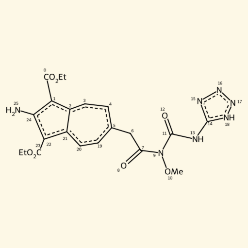 CCOC(=O)c1c2ccc(CC(=O)N(OC)C(=O)Nc3nnn[nH]3)ccc-2c(C(=O)OCC)c1N